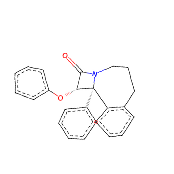 O=C1[C@@H](Oc2ccccc2)[C@]2(c3ccccc3)c3ccccc3CCCN12